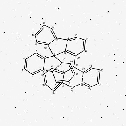 C1=CC2c3ccccc3C3(c4ccccc4-c4cccc(N5c6ccccc6Oc6ccccc65)c43)C2C=C1